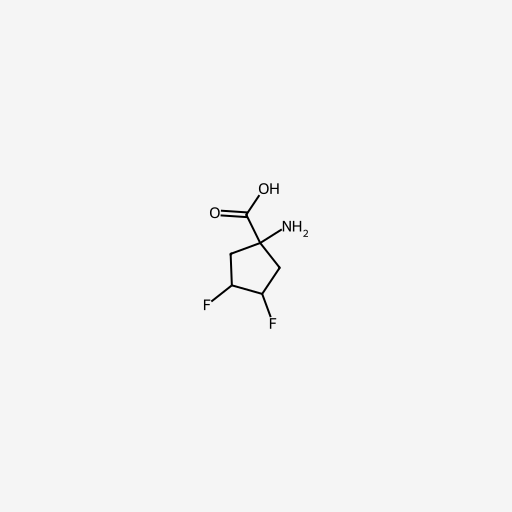 NC1(C(=O)O)CC(F)C(F)C1